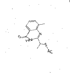 CC(=O)SC(C)c1nc2c(C)cccc2c(=O)[nH]1